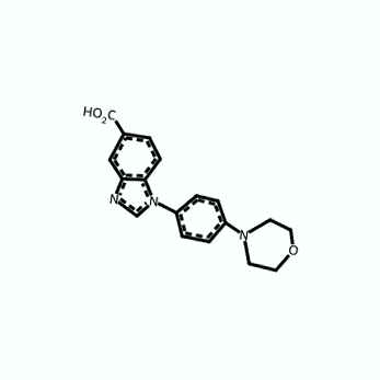 O=C(O)c1ccc2c(c1)ncn2-c1ccc(N2CCOCC2)cc1